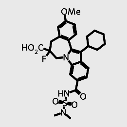 COc1ccc2c(c1)CC(F)(C(=O)O)Cn1c-2c(C2CCCCC2)c2ccc(C(=O)NS(=O)(=O)N(C)C)cc21